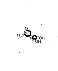 NC1=N/C(=O)CCC([C@@H]2C[C@H](CO)C(O)C2(F)F)/C=C\1